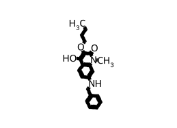 CCCCOc1c(O)c2ccc(NCc3ccccc3)cc2n(C)c1=O